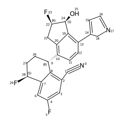 N#Cc1cc(F)cc2c1[C@@H](c1ccc(C3=CC=NC3)c3c1C[C@@H](F)[C@H]3O)CC[C@@H]2F